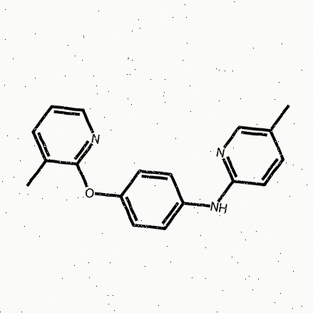 Cc1ccc(Nc2ccc(Oc3ncccc3C)cc2)nc1